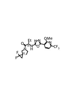 CC[C@@H](Nc1nnc(-c2ccc(C(F)(F)F)nc2OC)o1)C(=O)N1CC[C@]2(C1)CC2(F)F